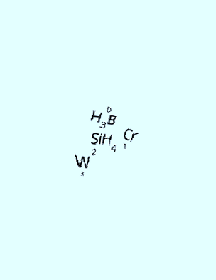 B.[Cr].[SiH4].[W]